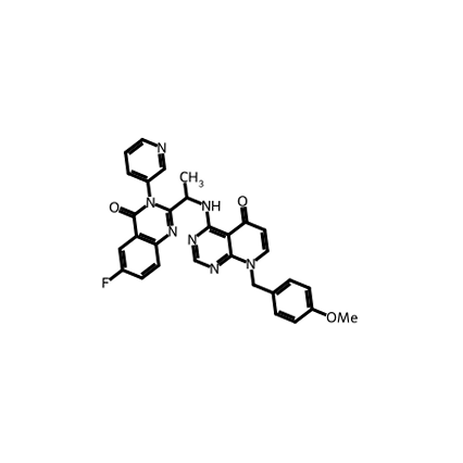 COc1ccc(Cn2ccc(=O)c3c(NC(C)c4nc5ccc(F)cc5c(=O)n4-c4cccnc4)ncnc32)cc1